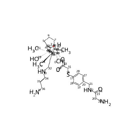 C[C@@H]1CC[C@@]23CCC[C@H]2[C@]1(C)[C@H](OC(=O)CSc1ccc(CNC(=O)CN)cc1)C[C@](C)(CNCCCN)[C@@H](O)[C@@H]3C